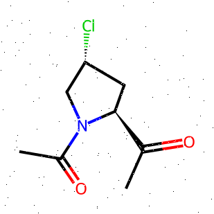 CC(=O)[C@@H]1C[C@@H](Cl)CN1C(C)=O